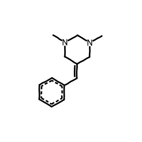 CN1CC(=Cc2ccccc2)CN(C)C1